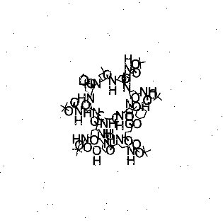 CC(C)C[C@@H]1NC(=O)[C@@H](Cc2ccccc2)NC(=O)[C@H](CCNC(=O)OC(C)(C)C)NC[C@@H](NC(=O)[C@H](CCNC(=O)OC(C)(C)C)NC(=O)[C@@H](NC(=O)[C@H](CCNC(=O)OC(C)(C)C)NC(=O)CCC(=O)OC2CCCCC2)C(C)O)CCNC(=O)[C@H](C(C)O)NC(=O)[C@H](CCNC(=O)OC(C)(C)C)NC(=O)[C@H](CCNC(=O)OC(C)(C)C)NC1=O